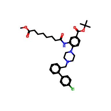 COC(=O)CCCCCCC(=O)Nc1cc(C(=O)OC(C)(C)C)ccc1N1CCN(Cc2ccccc2-c2ccc(Cl)cc2)CC1